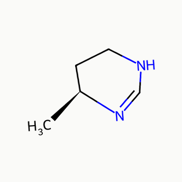 C[C@H]1CCNC=N1